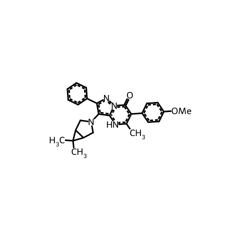 COc1ccc(-c2c(C)[nH]c3c(N4CC5C(C4)C5(C)C)c(-c4ccccc4)nn3c2=O)cc1